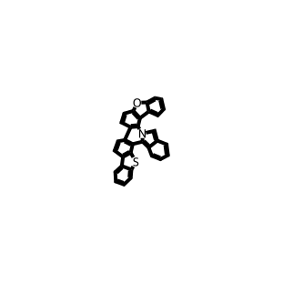 c1ccc2c(c1)cn1c3c(ccc4oc5ccccc5c43)c3ccc4c5ccccc5sc4c3c21